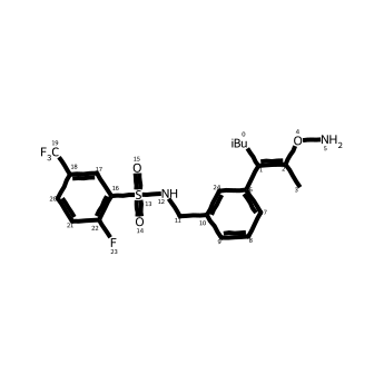 CCC(C)/C(=C(/C)ON)c1cccc(CNS(=O)(=O)c2cc(C(F)(F)F)ccc2F)c1